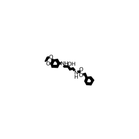 O=C(NCCC(O)CNc1ccc2c(c1)OCCO2)OCc1ccccc1